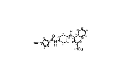 C#Cc1csc(C(=O)NC2CCC(Nc3cc(C(C)(C)C)nc4ccccc34)CC2)c1